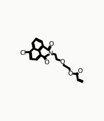 C=CC(=O)OCCOCCN1C(=O)c2cccc3c(Cl)ccc(c23)C1=O